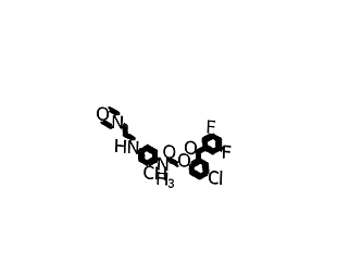 Cc1cc(NCCCN2CCOCC2)ccc1NC(=O)COc1ccc(Cl)cc1C(=O)c1cc(F)cc(F)c1